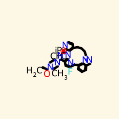 C=CC(=O)N1C[C@H](C)N(c2nc(=O)n3c4nc(c(F)cc24)-c2cccc4cnn(c24)CCCCc2ccnc(C(C)C)c2-3)C[C@H]1C